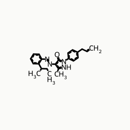 C=CCc1ccc(-n2[nH]c(C)c(N=Nc3ccccc3C(C)CC)c2=O)cc1